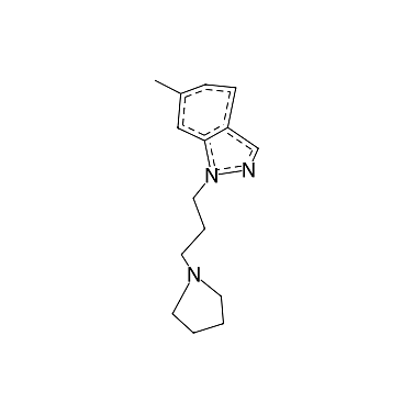 Cc1ccc2cnn(CCCN3CCCC3)c2c1